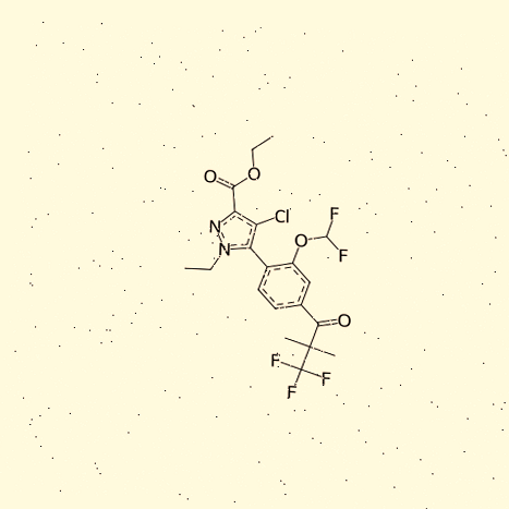 CCOC(=O)c1nn(CC)c(-c2ccc(C(=O)C(C)(C)C(F)(F)F)cc2OC(F)F)c1Cl